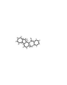 CC(C)c1ccccc1N(C)c1cccc2c1sc1ccccc12